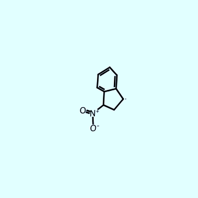 O=[N+]([O-])C1C[CH]c2ccccc21